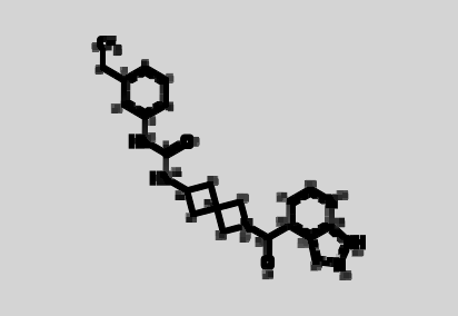 O=C(Nc1cccc(CC(F)(F)F)c1)NC1CC2(C1)CN(C(=O)c1ccnc3[nH]ncc13)C2